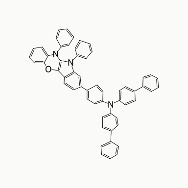 c1ccc(-c2ccc(N(c3ccc(-c4ccccc4)cc3)c3ccc(-c4ccc5c6c(n(-c7ccccc7)c5c4)N(c4ccccc4)c4ccccc4O6)cc3)cc2)cc1